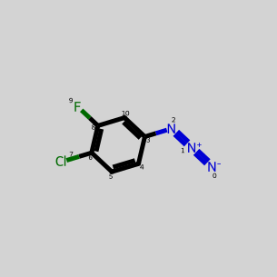 [N-]=[N+]=Nc1ccc(Cl)c(F)c1